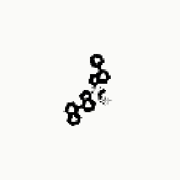 C[C](C)=[Zr+2]([CH]1C=Cc2c(-c3ccccc3)cccc21)[CH]1C=Cc2c(-c3cccc4ccccc34)cccc21.[Cl-].[Cl-]